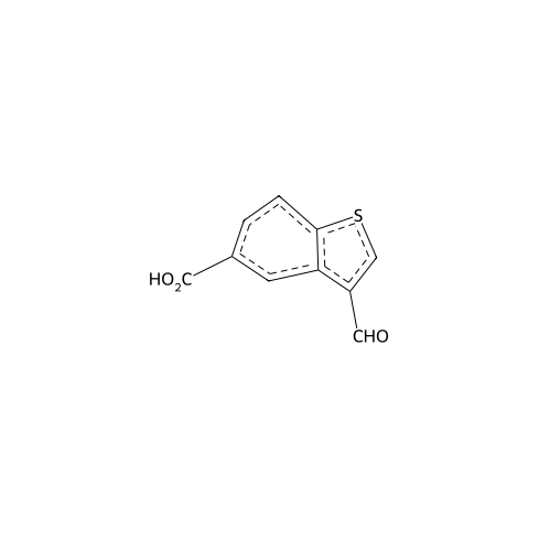 O=Cc1csc2ccc(C(=O)O)cc12